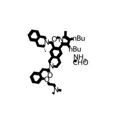 CCCCc1c(CCCC)c(-c2cc3c(cc2C(=O)N2Cc4ccccc4C[C@H]2C)CN(C(=O)Cc2ccccc2OCCN(C)C)CC3)n(C)c1C.NC=O